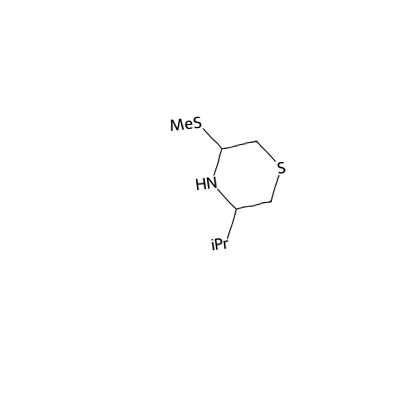 CSC1CSCC(C(C)C)N1